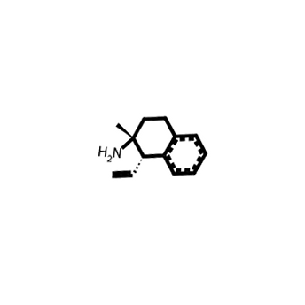 C=C[C@H]1c2ccccc2CC[C@@]1(C)N